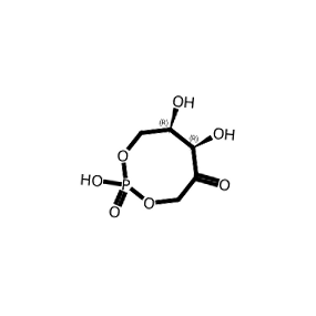 O=C1COP(=O)(O)OC[C@@H](O)[C@H]1O